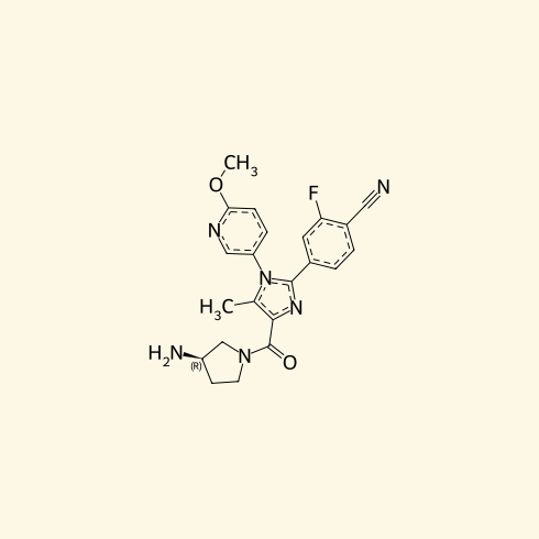 COc1ccc(-n2c(-c3ccc(C#N)c(F)c3)nc(C(=O)N3CC[C@@H](N)C3)c2C)cn1